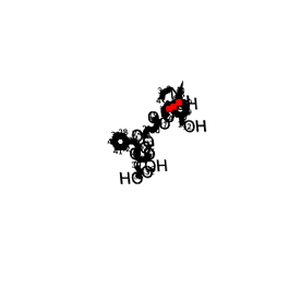 CN1CCC[C@]23c4c5ccc(CO)c4O[C@H]2C(OC(=O)CCC(=O)O[C@H](C(=O)O[C@@H](CC(=O)O)C(=O)O)c2ccccc2)=CC[C@@]3(O)[C@H]1C5